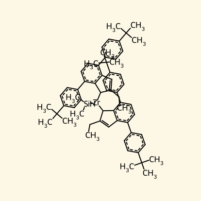 CCC1=Cc2c(-c3ccc(C(C)(C)C)cc3)ccc(-c3ccc(C(C)(C)C)cc3)c2[CH]1[Zr]([CH]1C(CC)=Cc2c(-c3ccc(C(C)(C)C)cc3)ccc(-c3ccc(C(C)(C)C)cc3)c21)[SiH](C)C